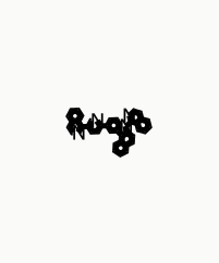 c1ccc2c(-c3ccc(-c4ccc5c(c4)c4c6ccccc6ccc4n5-c4nccc5ccccc45)nc3)nccc2c1